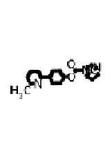 Cc1cccc(-c2ccc(OC(=O)N3CCN4CCC3CC4)cc2)n1